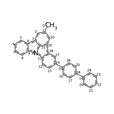 Cc1cc2c3ccccc3n3c4ccc(-c5ccc(-c6ccccc6)cc5)cc4c(c1)c23